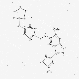 COc1cc2nnc(-c3cc(C)on3)n2nc1OCc1cnc(OC2CCOCC2)cn1